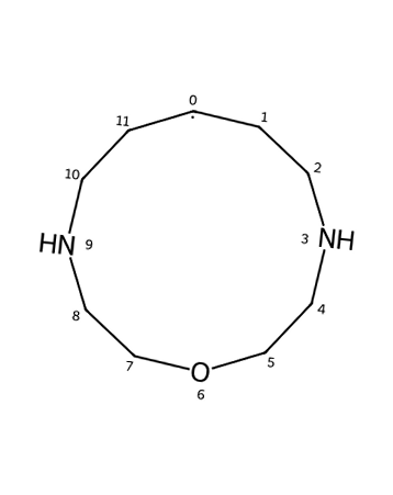 [CH]1CCNCCOCCNCC1